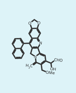 C=C1C(COC)=C(C(O)C=O)C=C2c3nc4cc5c(cc4c(-c4cccc6ccccc46)c3CN12)OCO5